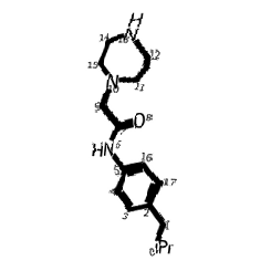 CC(C)Cc1ccc(NC(=O)CN2CCNCC2)cc1